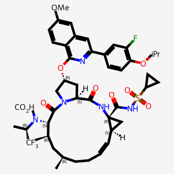 COc1ccc2c(O[C@@H]3C[C@H]4C(=O)N[C@]5(C(=O)NS(=O)(=O)C6CC6)C[C@H]5C=CCC[C@@H](C)C[C@@H](C)[C@H](N(C(=O)O)[C@H](C)C(F)(F)F)C(=O)N4C3)nc(-c3ccc(OC(C)C)c(F)c3)cc2c1